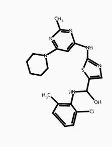 Cc1nc(Nc2ncc(C(O)Nc3c(C)cccc3Cl)s2)cc(N2CCCCC2)n1